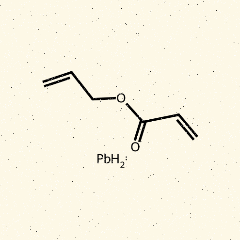 C=CCOC(=O)C=C.[PbH2]